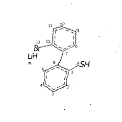 Sc1ccccc1-c1ccccc1Br.[LiH]